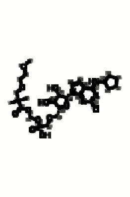 COCCOCC(C)(C)C(=O)OCOP(=O)(O)COC[C@H]1O[C@@H](n2ccc3c(NC4CCCC4)nc(Cl)nc32)[C@H](O)[C@@H]1O